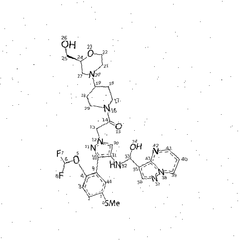 CSc1ccc(OC(F)F)c(-c2nn(CC(=O)N3CCC(N4CCO[C@H](CO)C4)CC3)cc2NC(O)c2cnn3cccnc23)c1